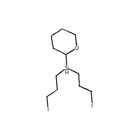 ICCC[SiH](CCCI)C1CCCCO1